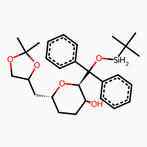 CC1(C)OCC(C[C@H]2CC[C@H](O)[C@H](C(O[SiH2]C(C)(C)C)(c3ccccc3)c3ccccc3)O2)O1